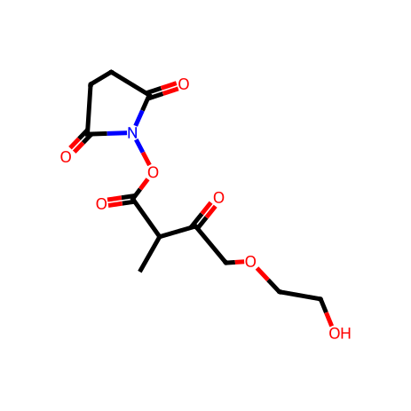 CC(C(=O)COCCO)C(=O)ON1C(=O)CCC1=O